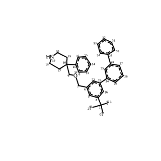 FC(F)(F)c1cc(COCC2(c3ccccc3)CCNCC2)cc(-c2cccc(-c3ccccc3)c2)c1